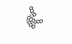 c1ccc(-n2c3ccc(N(c4cccc5c4oc4cc6ccccc6cc45)c4cccc5sc6cc7ccccc7cc6c45)cc3c3cc4ccccc4cc32)cc1